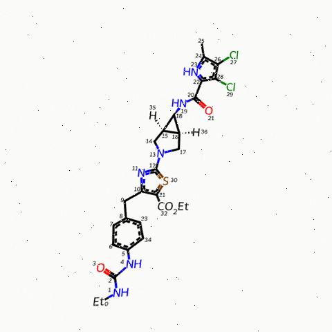 CCNC(=O)Nc1ccc(Cc2nc(N3C[C@@H]4[C@H](C3)[C@@H]4NC(=O)c3[nH]c(C)c(Cl)c3Cl)sc2C(=O)OCC)cc1